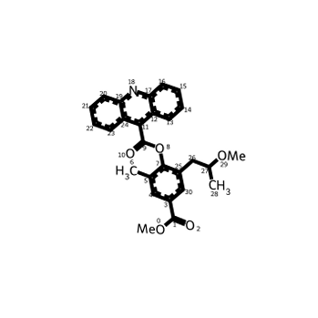 COC(=O)c1cc(C)c(OC(=O)c2c3ccccc3nc3ccccc23)c(CC(C)OC)c1